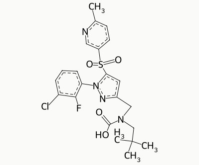 Cc1ccc(S(=O)(=O)c2cc(CN(CC(C)(C)C)C(=O)O)nn2-c2cccc(Cl)c2F)cn1